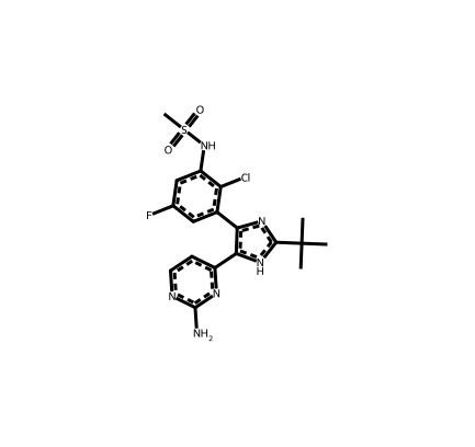 CC(C)(C)c1nc(-c2cc(F)cc(NS(C)(=O)=O)c2Cl)c(-c2ccnc(N)n2)[nH]1